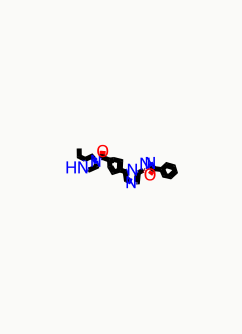 CCC1CN(C(=O)c2ccc(-c3cncc(-c4nnc(-c5ccccc5)o4)n3)cc2)CCN1